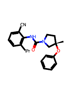 CC(C)c1cccc(C#N)c1NC(=O)N1CC[C@](C)(Oc2ccccc2)C1